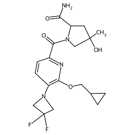 CC1(O)CC(C(N)=O)N(C(=O)c2ccc(N3CC(F)(F)C3)c(OCC3CC3)n2)C1